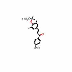 CCOC(=O)C(C)(C)Oc1c(C)cc(/C=C/C(=O)c2ccc(OC)cc2)cc1C